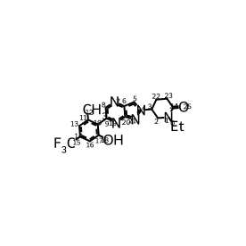 CCN1CC(n2cc3ncc(-c4c(C)cc(C(F)(F)F)cc4O)nc3n2)CCC1=O